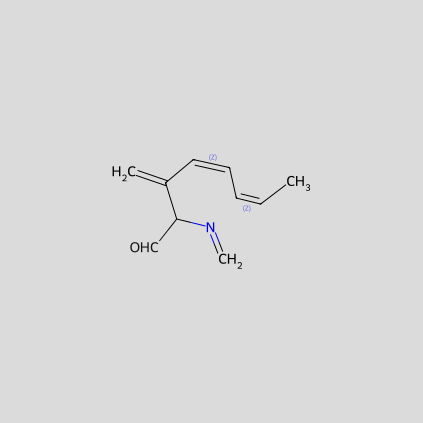 C=NC(C=O)C(=C)/C=C\C=C/C